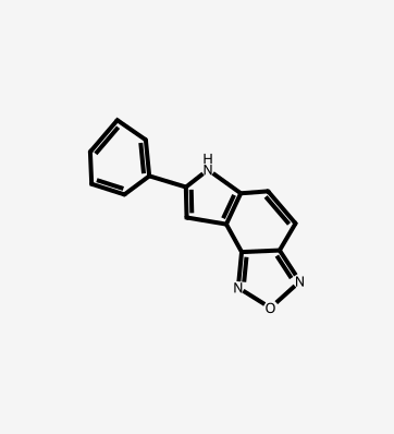 c1ccc(-c2cc3c(ccc4nonc43)[nH]2)cc1